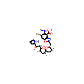 CNc1c(Br)cc2oc(C[C@@H]3OC4(CC[C@@H]3C)OC([C@@H](C)C(=O)c3ccc[nH]3)[C@@H](C)C[C@H]4C)nc2c1C(=O)O